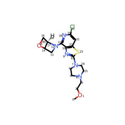 COCCN1CCN(c2nc3c(N4CC5OC[C@H]54)nc(Cl)cc3s2)CC1